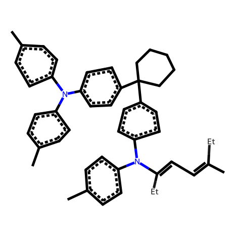 CC/C(C)=C\C=C(/CC)N(c1ccc(C)cc1)c1ccc(C2(c3ccc(N(c4ccc(C)cc4)c4ccc(C)cc4)cc3)CCCCC2)cc1